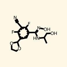 CC(CO)NC(=NO)c1cc(C2OCCO2)c(F)c(C#N)c1F